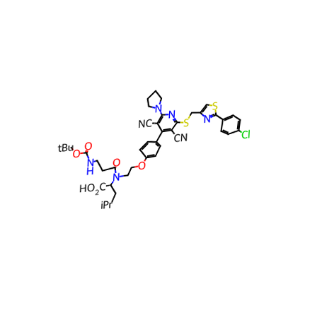 CC(C)C[C@@H](C(=O)O)N(CCOc1ccc(-c2c(C#N)c(SCc3csc(-c4ccc(Cl)cc4)n3)nc(N3CCCC3)c2C#N)cc1)C(=O)CCNC(=O)OC(C)(C)C